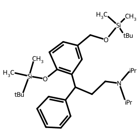 CC(C)N(CCC(c1ccccc1)c1cc(CO[Si](C)(C)C(C)(C)C)ccc1O[Si](C)(C)C(C)(C)C)C(C)C